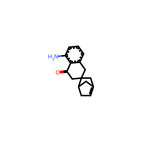 Nc1cccc2c1C(=O)CC1(CC3=CCC1C3)C2